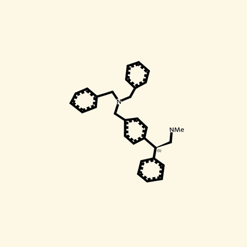 [CH2]NC[C@@H](c1ccccc1)c1ccc(CN(Cc2ccccc2)Cc2ccccc2)cc1